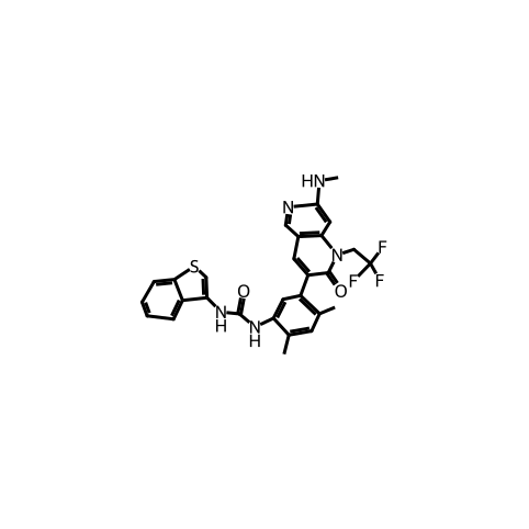 CNc1cc2c(cn1)cc(-c1cc(NC(=O)Nc3csc4ccccc34)c(C)cc1C)c(=O)n2CC(F)(F)F